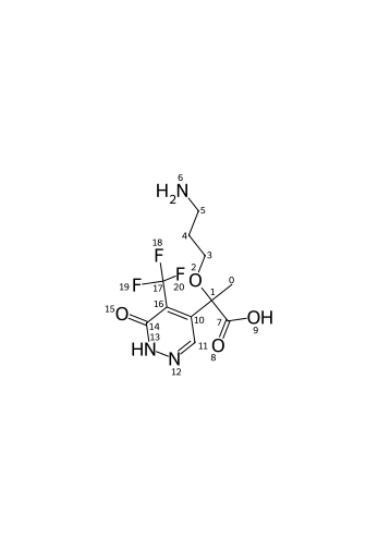 CC(OCCCN)(C(=O)O)c1cn[nH]c(=O)c1C(F)(F)F